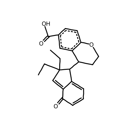 CCC1(CC)C=C2C(=O)C=CC=C2C1C1CCOc2ccc(C(=O)O)cc21